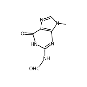 Cn1cnc2c(=O)[nH]c(NC=O)nc21